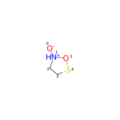 [O-][NH+]1CCSO1